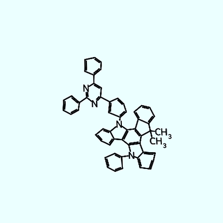 CC1(C)c2ccccc2-c2c1c1c3ccccc3n(-c3ccccc3)c1c1c3ccccc3n(-c3cccc(-c4cc(-c5ccccc5)nc(-c5ccccc5)n4)c3)c21